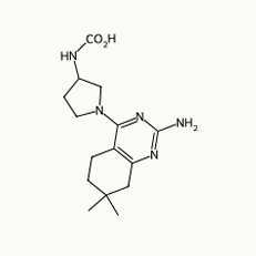 CC1(C)CCc2c(nc(N)nc2N2CCC(NC(=O)O)C2)C1